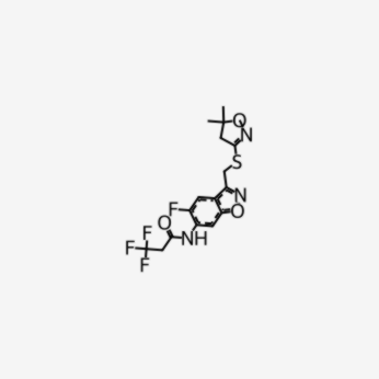 CC1(C)CC(SCc2noc3cc(NC(=O)CC(F)(F)F)c(F)cc23)=NO1